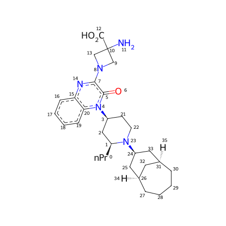 CCC[C@H]1C[C@@H](n2c(=O)c(N3CC(N)(C(=O)O)C3)nc3ccccc32)CCN1[C@@H]1C[C@@H]2CCCC[C@@H](C2)C1